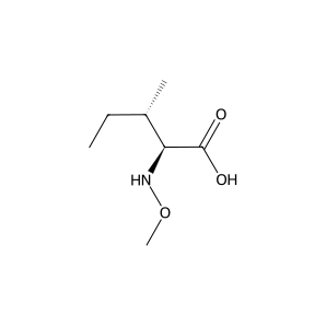 CC[C@H](C)[C@H](NOC)C(=O)O